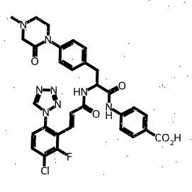 CN1CCN(c2ccc(CC(NC(=O)/C=C/c3c(-n4cnnn4)ccc(Cl)c3F)C(=O)Nc3ccc(C(=O)O)cc3)cc2)C(=O)C1